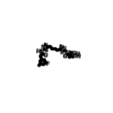 CC1C=C(CC(=O)Nc2nnc(CCCCc3nnc(NC(=O)C(C)(CO)CO)s3)s2)C=C(F)C1